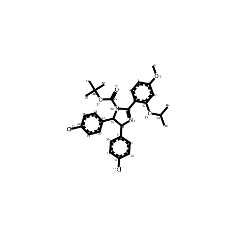 COc1ccc(C2=NC(c3ccc(Cl)cc3)C(c3ccc(Cl)cc3)N2C(=O)OC(C)(C)C)c(OC(C)C)c1